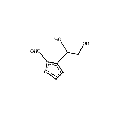 O=Cc1occc1C(O)CO